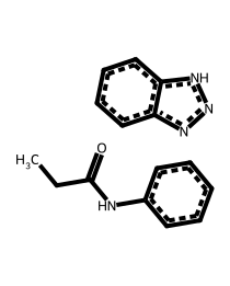 CCC(=O)Nc1ccccc1.c1ccc2[nH]nnc2c1